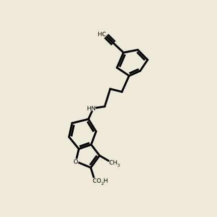 C#Cc1cccc(CCCNc2ccc3oc(C(=O)O)c(C)c3c2)c1